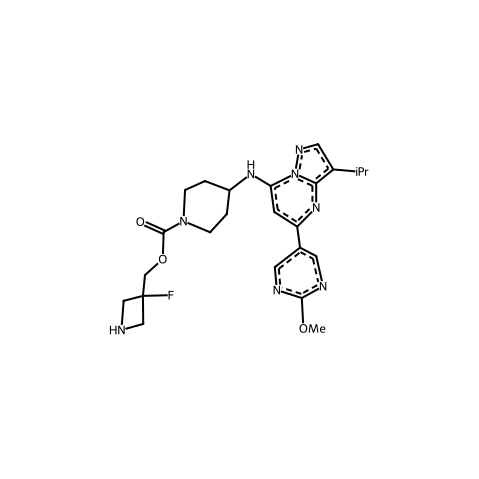 COc1ncc(-c2cc(NC3CCN(C(=O)OCC4(F)CNC4)CC3)n3ncc(C(C)C)c3n2)cn1